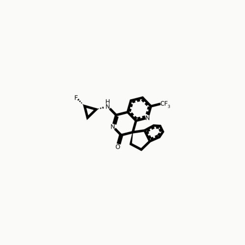 O=C1N=C(N[C@@H]2C[C@@H]2F)c2ccc(C(F)(F)F)nc2[C@@]12CCc1ccccc12